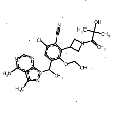 C=C(N1CC(c2c(C#N)c(Cl)cc(C(C)n3nc(C)c4c(N)ncnc43)c2OCC)C1)C(C)(C)O